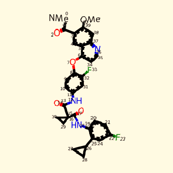 CNC(=O)c1cc2c(Oc3ccc(NC(=O)C4(C(=O)Nc5ccc(F)cc5C5CC5)CC4)cc3F)ccnc2cc1OC